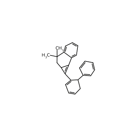 CC1(C)CC2C(C3=CC=CCC3c3ccccc3)=C2c2ccccc21